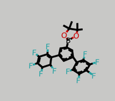 CC1(C)OB(c2cc(C3=C(F)C(F)=C(F)C(F)C3F)cc(-c3c(F)c(F)c(F)c(F)c3F)c2)OC1(C)C